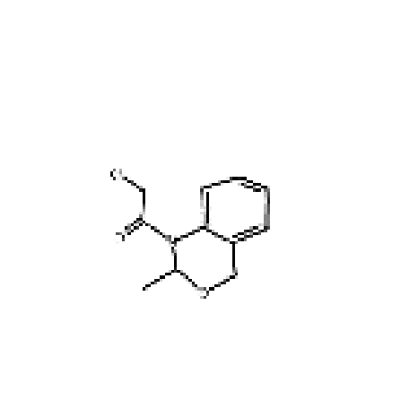 CC1OCc2ccccc2N1C(=O)CCl